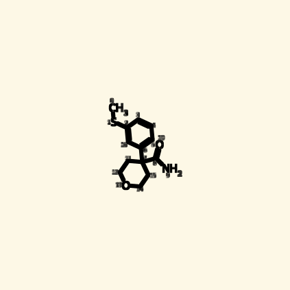 CSc1cccc(C2(C(N)=O)CCOCC2)c1